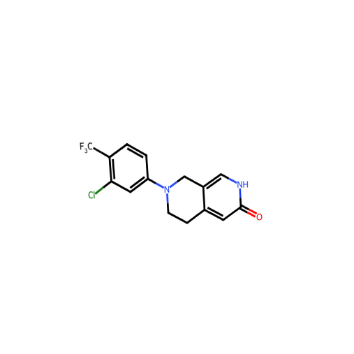 O=c1cc2c(c[nH]1)CN(c1ccc(C(F)(F)F)c(Cl)c1)CC2